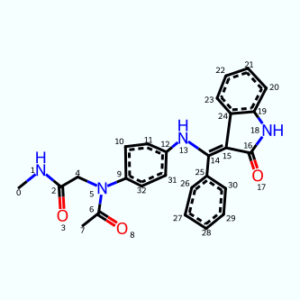 CNC(=O)CN(C(C)=O)c1ccc(NC(=C2C(=O)Nc3ccccc32)c2ccccc2)cc1